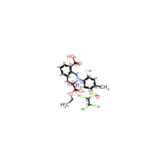 CCOC(=O)C(=O)N(Cc1c(CC)cccc1C(=O)O)c1cc([S+]([O-])C(F)C(F)F)c(C)cc1F